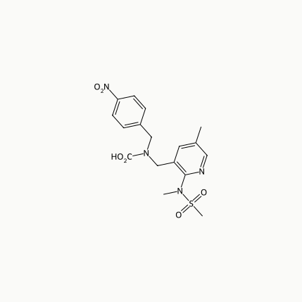 Cc1cnc(N(C)S(C)(=O)=O)c(CN(Cc2ccc([N+](=O)[O-])cc2)C(=O)O)c1